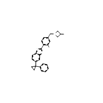 Cl.O=C(O)C1CN(Cc2ccc(-c3nc4ccc(C5(c6ccccc6)CC5)cc4s3)c(F)c2)C1